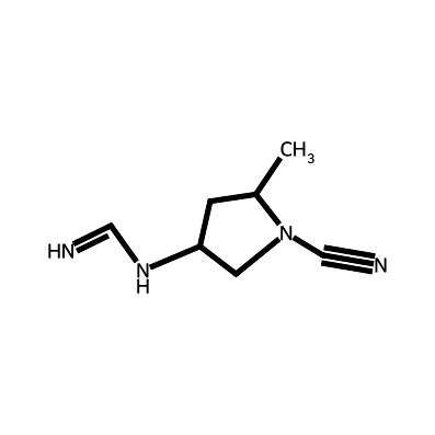 CC1CC(NC=N)CN1C#N